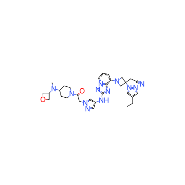 CCc1cnn(C2(CC#N)CN(c3cccn4nc(Nc5cnn(CC(=O)N6CCC(N(C)C7COC7)CC6)c5)nc34)C2)c1